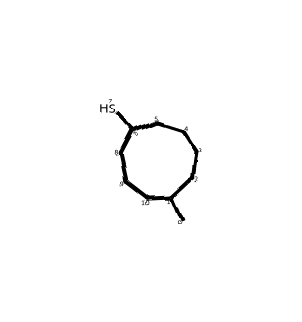 CC1CCCCC(S)CCC1